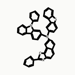 c1ccc(-c2nc3ccc4ccc(N(c5ccc6sc7ccccc7c6c5)c5ccc6c7ccccc7n(-c7ccccc7)c6c5)cc4c3o2)cc1